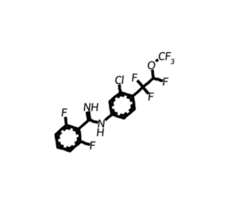 N=C(Nc1ccc(C(F)(F)C(F)OC(F)(F)F)c(Cl)c1)c1c(F)cccc1F